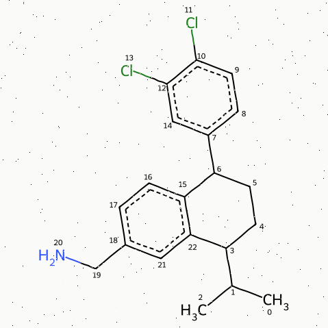 CC(C)C1CCC(c2ccc(Cl)c(Cl)c2)c2ccc(CN)cc21